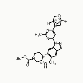 Cc1nc(N2C[C@@H]3C[C@H]2CO3)cc(-n2ncc3cc(C)c([C@H]4CCN(C(=O)OC(C)(C)C)C[C@H]4O)cc32)n1